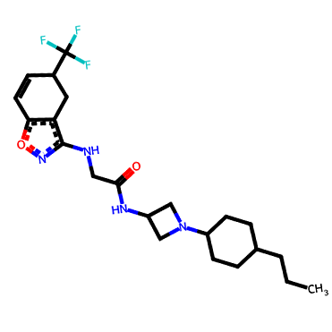 CCCC1CCC(N2CC(NC(=O)CNc3noc4c3CC(C(F)(F)F)C=C4)C2)CC1